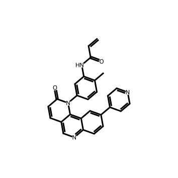 C=CC(=O)Nc1cc(-n2c(=O)ccc3cnc4ccc(-c5ccncc5)cc4c32)ccc1C